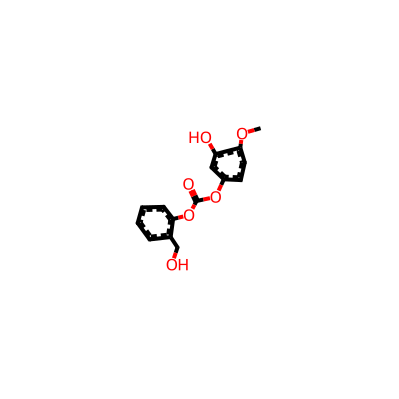 COc1ccc(OC(=O)Oc2ccccc2CO)cc1O